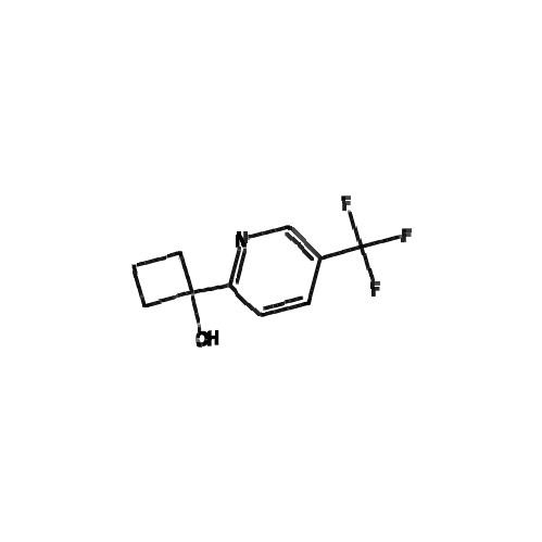 OC1(c2ccc(C(F)(F)F)cn2)CCC1